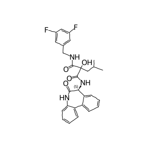 CC(C)CC(O)(C(=O)NCc1cc(F)cc(F)c1)C(=O)N[C@@H]1C(=O)Nc2ccccc2-c2ccccc21